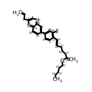 C=CCc1cnc2cc(-c3ccc(/C=C/CCCC(C)OCCCCC)c(F)c3)ccc2n1